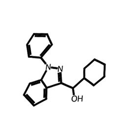 OC(c1nn(-c2ccccc2)c2ccccc12)C1CCCCC1